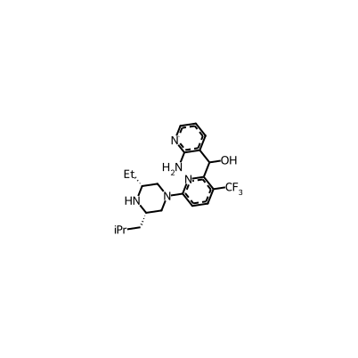 CC[C@@H]1CN(c2ccc(C(F)(F)F)c(C(O)c3cccnc3N)n2)C[C@H](CC(C)C)N1